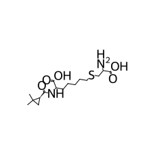 CC1(C)C[C@@H]1C(=O)NC(CCCCCSCC(N)C(=O)O)C(=O)O